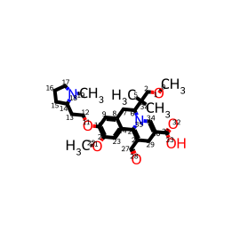 COCC(C)(C)C1Cc2cc(OCCC3CCCN3C)c(OC)cc2C2=C(C=O)CC(C(=O)O)=CN21